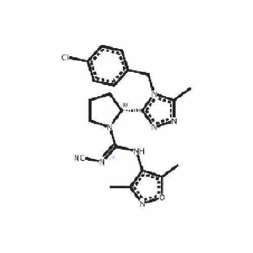 Cc1noc(C)c1N/C(=N/C#N)N1CCC[C@@H]1c1nnc(C)n1Cc1ccc(Cl)cc1